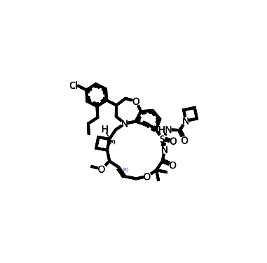 CCCc1cc(Cl)ccc1C1COc2ccc3cc2N(C1)C[C@@H]1CCC1C(OC)/C=C/COC(C)(C)C(=O)N=S3(=O)NC(=O)N1CCC1